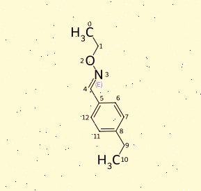 CCO/N=[C]/c1ccc(CC)cc1